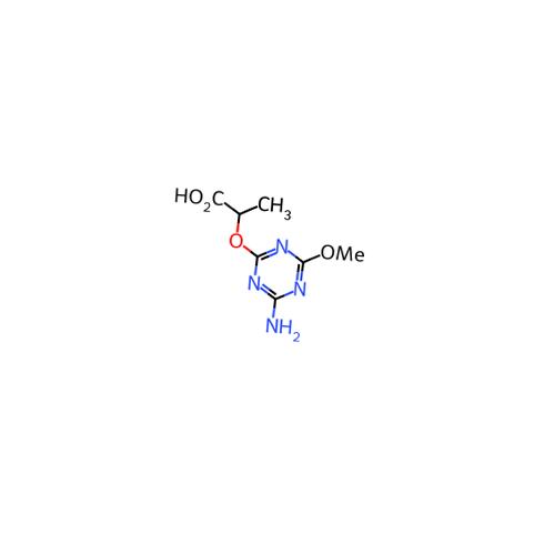 COc1nc(N)nc(OC(C)C(=O)O)n1